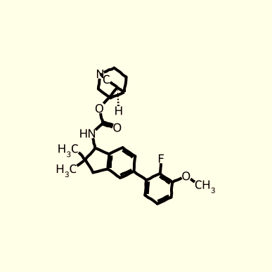 COc1cccc(-c2ccc3c(c2)CC(C)(C)C3NC(=O)O[C@H]2CN3CCC2CC3)c1F